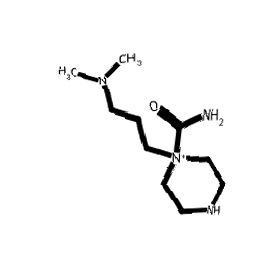 CN(C)CCC[N+]1(C(N)=O)CCNCC1